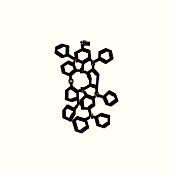 CC(C)(C)c1cc2c3c(c1)N(c1ccccc1)c1cccc4c1B3c1cc3c(cc1N2c1ccccc1)N(c1ccccc1)c1cc(N(c2ccccc2)c2ccccc2)cc2c1B3c1c(cccc1N2c1ccccc1)O4